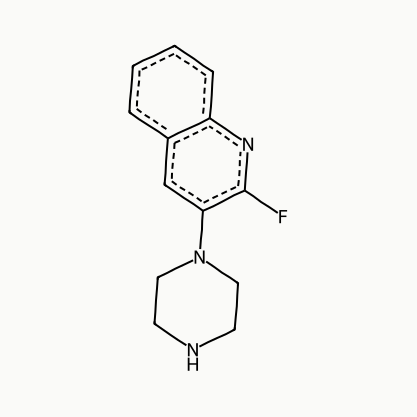 Fc1nc2ccccc2cc1N1CCNCC1